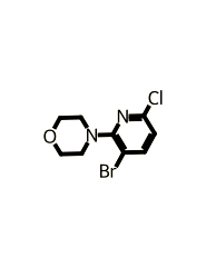 Clc1ccc(Br)c(N2CCOCC2)n1